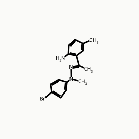 C/C(=N\N(C)c1ccc(Br)cc1)c1cc(C)ccc1N